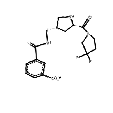 O=C(O)c1cccc(C(=O)NC[C@@H]2CN[C@H](C(=O)N3CCC(F)(F)C3)C2)c1